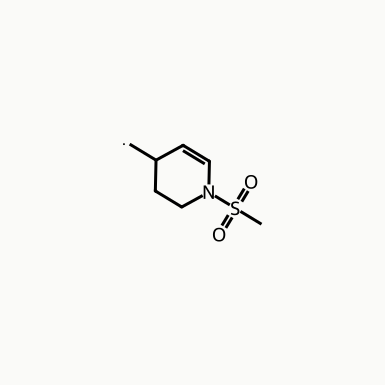 [CH2]C1C=CN(S(C)(=O)=O)CC1